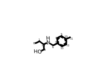 CCC(CO)NCc1ccc(C)cc1